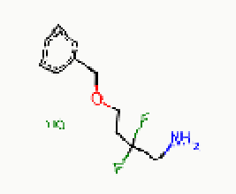 Cl.NCC(F)(F)CCOCc1ccccc1